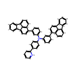 c1ccc(-c2ccc(N(c3cccc(-c4ccc5c6c(cccc46)-c4ccccc4-5)c3)c3cccc(-c4ccc5c6c(cccc46)-c4ccccc4-5)c3)cc2)nc1